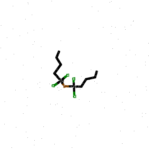 CCC[CH2][Sn]([Cl])([Cl])[S][Sn]([Cl])([Cl])[CH2]CCC